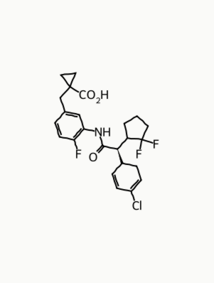 O=C(Nc1cc(CC2(C(=O)O)CC2)ccc1F)[C@H](C1C=CC(Cl)=CC1)C1CCCC1(F)F